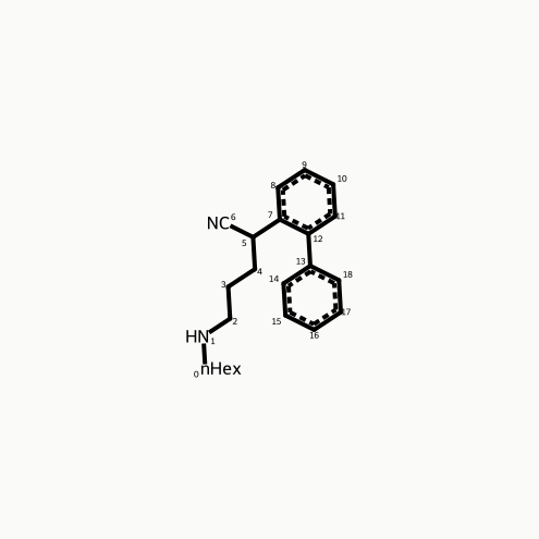 CCCCCCNCCCC(C#N)c1ccccc1-c1ccccc1